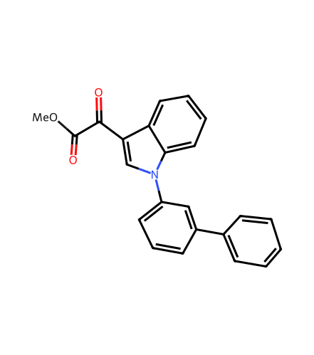 COC(=O)C(=O)c1cn(-c2cccc(-c3ccccc3)c2)c2ccccc12